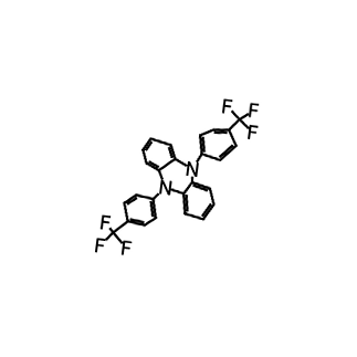 FC(F)(F)c1ccc(N2c3ccccc3N(c3ccc(C(F)(F)F)cc3)c3ccccc32)cc1